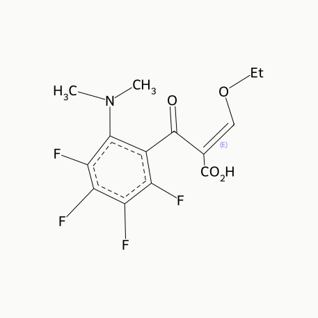 CCO/C=C(/C(=O)O)C(=O)c1c(F)c(F)c(F)c(F)c1N(C)C